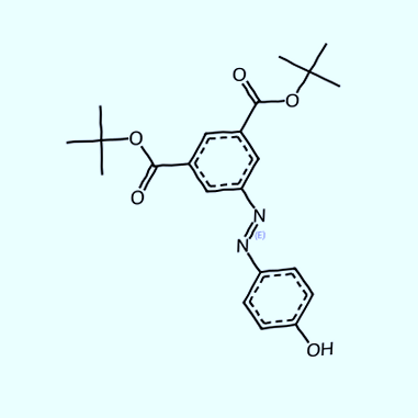 CC(C)(C)OC(=O)c1cc(/N=N/c2ccc(O)cc2)cc(C(=O)OC(C)(C)C)c1